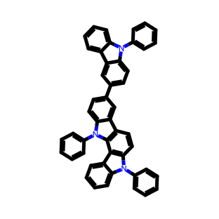 c1ccc(-n2c3ccccc3c3cc(-c4ccc5c(c4)c4ccc6c(c7ccccc7n6-c6ccccc6)c4n5-c4ccccc4)ccc32)cc1